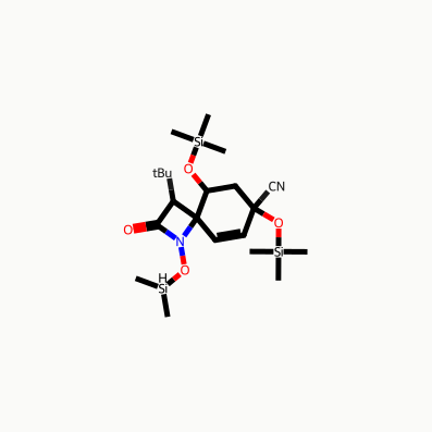 C[SiH](C)ON1C(=O)C(C(C)(C)C)C12C=CC(C#N)(O[Si](C)(C)C)CC2O[Si](C)(C)C